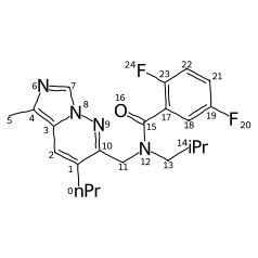 CCCc1cc2c(C)ncn2nc1CN(CC(C)C)C(=O)c1cc(F)ccc1F